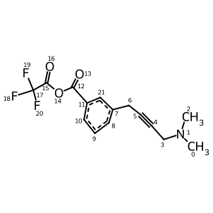 CN(C)CC#CCc1cccc(C(=O)OC(=O)C(F)(F)F)c1